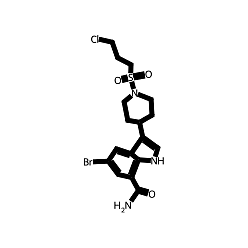 NC(=O)c1cc(Br)cc2c(C3CCN(S(=O)(=O)CCCCl)CC3)c[nH]c12